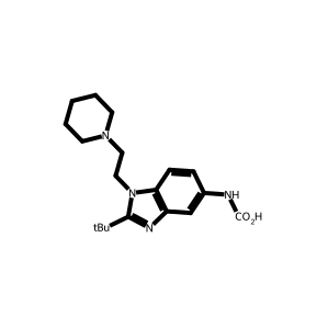 CC(C)(C)c1nc2cc(NC(=O)O)ccc2n1CCN1CCCCC1